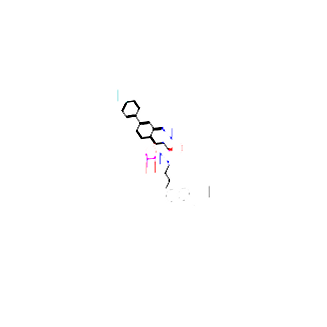 O=C(O)CCCCNC(=O)c1ncc2cc(-c3ccc(F)cc3)ccc2c1O